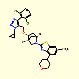 O=C(O)c1cc(C2CCOCC2)c2nc(N3C[C@@H]4C[C@H]3C[C@H]4OCc3c(-c4c(Cl)cccc4Cl)nnn3C3CC3)sc2c1